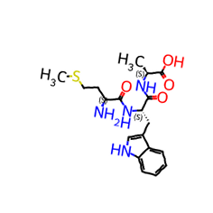 CSCC[C@H](N)C(=O)N[C@@H](Cc1c[nH]c2ccccc12)C(=O)N[C@@H](C)C(=O)O